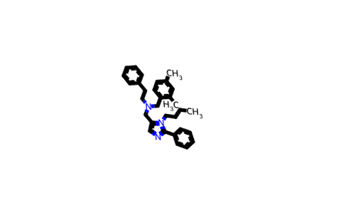 CCCCn1c(CN(CCc2ccccc2)Cc2ccc(C)cc2C)cnc1-c1ccccc1